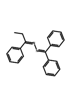 CCC(=NN=C(c1ccccc1)c1ccccc1)c1ccccc1